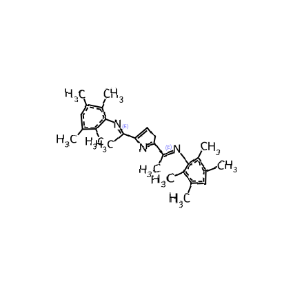 C/C(=N\c1c(C)c(C)cc(C)c1C)C1=CCC(/C(C)=N/c2c(C)c(C)cc(C)c2C)=N1